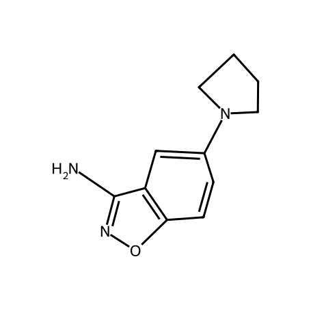 Nc1noc2ccc(N3CCCC3)cc12